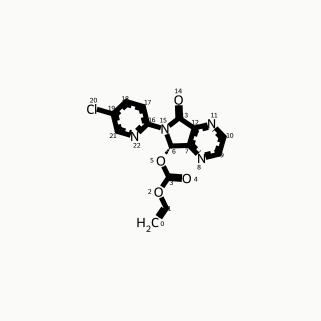 C=COC(=O)O[C@H]1c2nccnc2C(=O)N1c1ccc(Cl)cn1